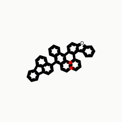 c1ccc(-c2c(-c3c4ccccc4c(-c4ccc5c6c(cccc46)-c4ccccc4-5)c4ccccc34)ccc3oc4ccccc4c23)cc1